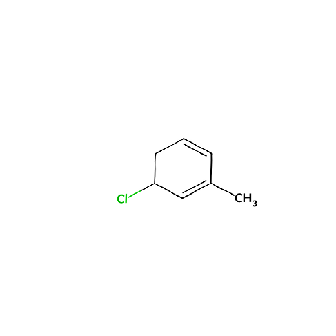 CC1=CC(Cl)CC=C1